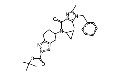 Cc1nc(C(=O)N(C2CC2)C2CCc3nn(C(=O)OC(C)(C)C)cc3C2)c(C)n1Cc1ccccc1